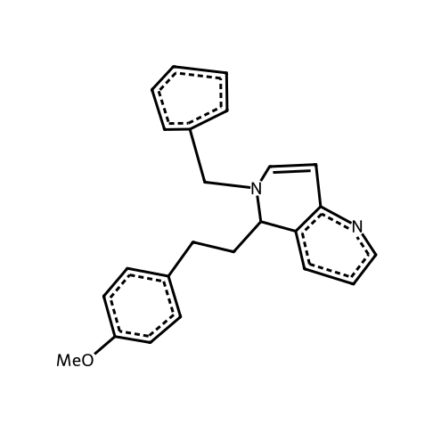 COc1ccc(CCC2c3cccnc3C=CN2Cc2ccccc2)cc1